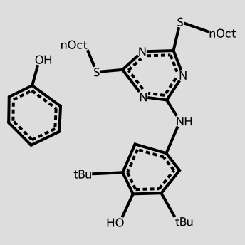 CCCCCCCCSc1nc(Nc2cc(C(C)(C)C)c(O)c(C(C)(C)C)c2)nc(SCCCCCCCC)n1.Oc1ccccc1